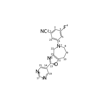 N#Cc1cc(F)cc(N2CCCc3oc(-c4cncnc4)nc3C2)c1